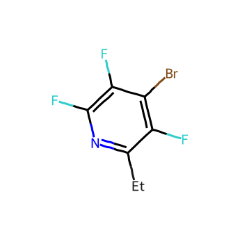 CCc1nc(F)c(F)c(Br)c1F